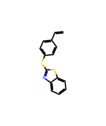 C=Cc1ccc(Sc2nc3ccccc3s2)cc1